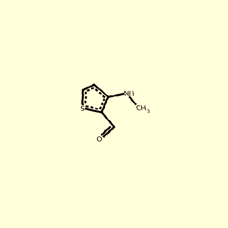 CNc1ccsc1C=O